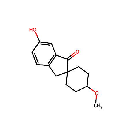 COC1CCC2(CC1)Cc1ccc(O)cc1C2=O